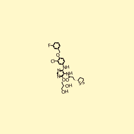 O=C(CC[C@@H]1CCSS1)Nc1c(Nc2ccc(OCc3cccc(F)c3)c(Cl)c2)ncnc1OC[C@H](O)CO